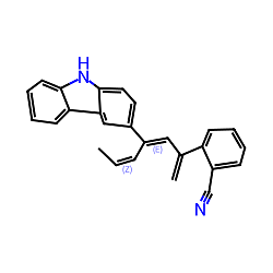 C=C(/C=C(\C=C/C)c1ccc2[nH]c3ccccc3c2c1)c1ccccc1C#N